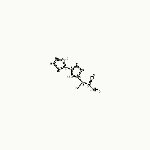 CC(C(N)=O)c1ccc(-c2cccs2)s1